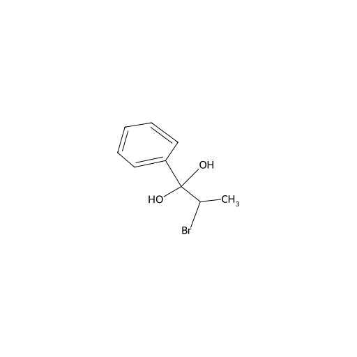 CC(Br)C(O)(O)c1ccccc1